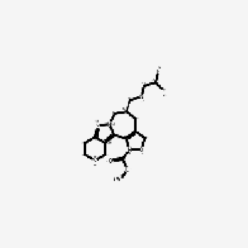 CC(C)(C)OC(=O)N1OCC2=C1c1c3c(nn1C[C@@H](COCC(F)F)C2)CCNC3